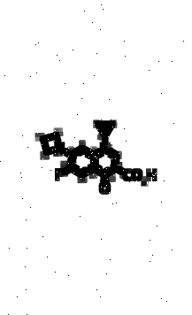 O=C(O)c1cn(C2CC2)c2cc(N3CCC3)c(F)cc2c1=O